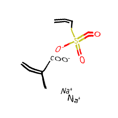 C=C(C)C(=O)[O-].C=CS(=O)(=O)[O-].[Na+].[Na+]